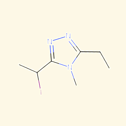 CCc1nnc(C(C)I)n1C